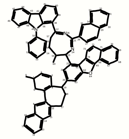 CC1C=CC2=C(C1)c1cc3ccccc3cc1CCC2c1cc(C2/N=C(c3ccc4ccccc4c3)\N=C(\c3cccc4c5ccccc5n(-c5ccccc5)c34)CCC2C)c2c(c1)oc1c3ccccc3ccc12